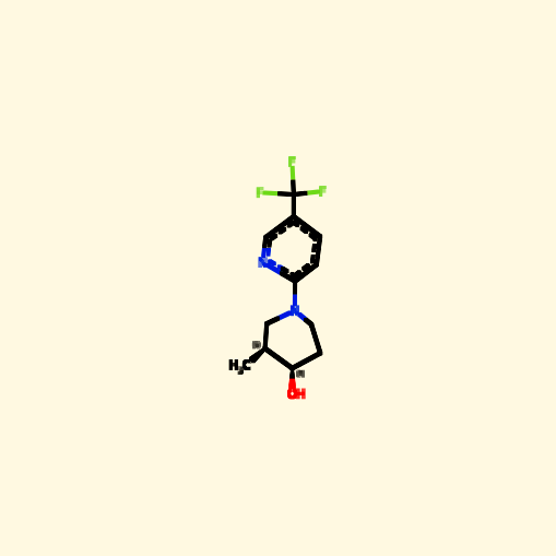 C[C@H]1CN(c2ccc(C(F)(F)F)cn2)CC[C@H]1O